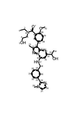 CCN(CCO)C(=O)c1cc(-c2c(C)nn3c(NCc4cccc(-c5nccn5C)c4)cc(C(C)O)nc23)ccc1OC